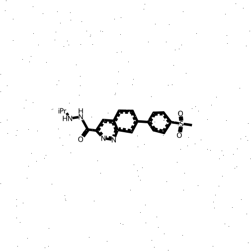 CC(C)NNC(=O)c1cc2ccc(-c3ccc(S(C)(=O)=O)cc3)cc2nn1